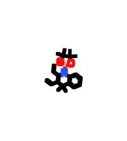 C=CC1=C(C=C)C(C)(C)c2ccccc2N1B1OC(C)(C)C(C)(C)O1